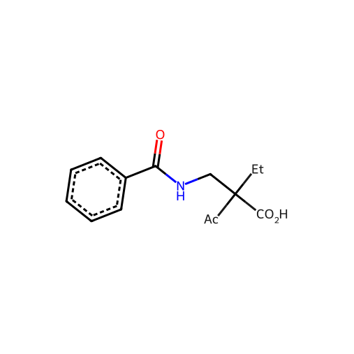 CCC(CNC(=O)c1ccccc1)(C(C)=O)C(=O)O